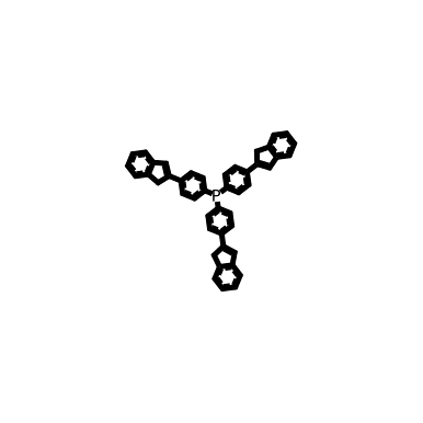 C1=C(c2ccc(P(c3ccc(C4=Cc5ccccc5C4)cc3)c3ccc(C4=Cc5ccccc5C4)cc3)cc2)Cc2ccccc21